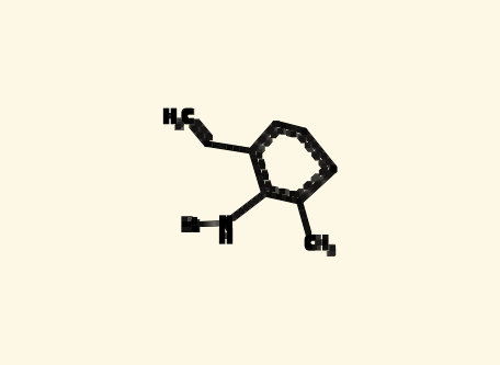 C=Cc1cccc(C)c1NCC